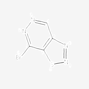 Brc1nncc2nnsc12